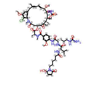 COc1cc(C(=O)N(C)[C@@H](C)C(=O)O[C@H]2CC(=O)N(C)c3cc(cc(OC)c3Cl)C/C(C)=C/C=C/[C@@H](OC)[C@@]3(O)C[C@H](OC(=O)N3)[C@@H](C)[C@@H]3O[C@@]23C)ccc1NC(=O)[C@H](CCCNC(N)=O)NC(=O)[C@@H](NC(=O)CCCCCN1C(=O)C=CC1O)C(C)C